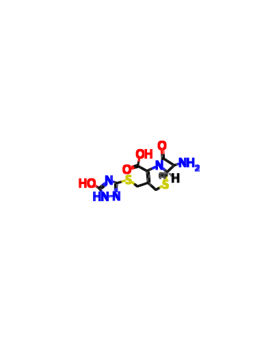 NC1C(=O)N2C(C(=O)O)=C(CSc3n[nH]c(O)n3)CS[C@H]12